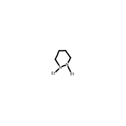 CCN1CCCCN1CC